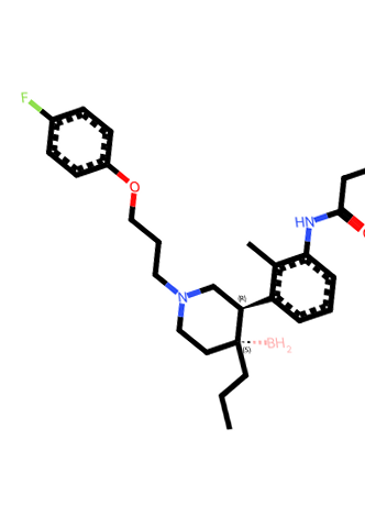 B[C@]1(CCC)CCN(CCCOc2ccc(F)cc2)C[C@H]1c1cccc(NC(=O)CC)c1C